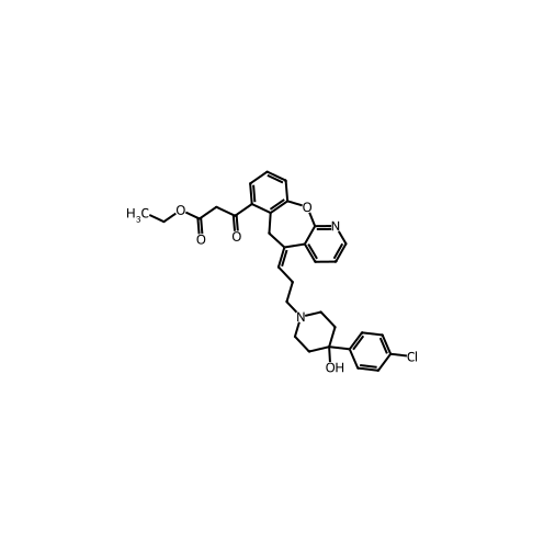 CCOC(=O)CC(=O)c1cccc2c1C/C(=C/CCN1CCC(O)(c3ccc(Cl)cc3)CC1)c1cccnc1O2